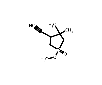 C#CC1CP(=O)(OC)CC1(C)C